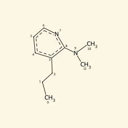 CCCc1cccnc1N(C)C